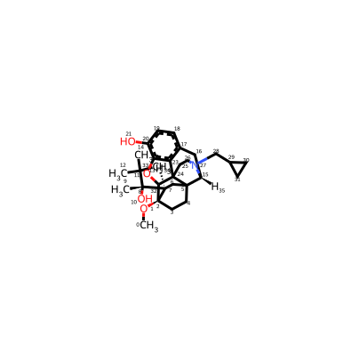 CO[C@]12CCC3(C[C@@H]1[C@](C)(O)C(C)(C)C)[C@H]1Cc4ccc(O)c5c4C3(CCN1CC1CC1)C2O5